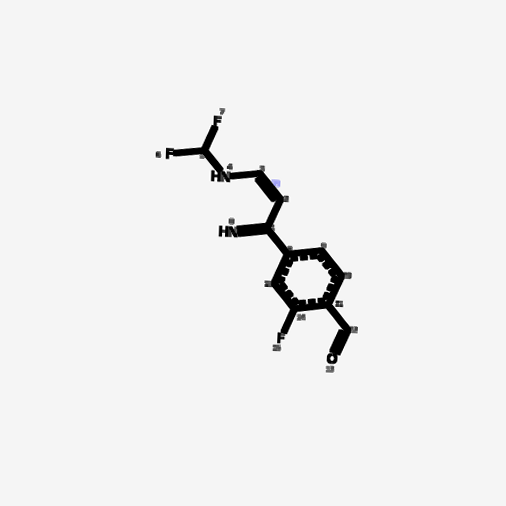 N=C(/C=C\NC(F)F)c1ccc(C=O)c(F)c1